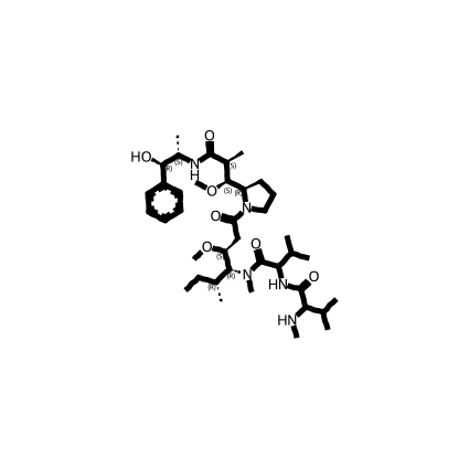 CC[C@@H](C)[C@H]([C@H](CC(=O)N1CCC[C@@H]1[C@@H](OC)[C@H](C)C(=O)N[C@@H](C)[C@H](O)c1ccccc1)OC)N(C)C(=O)C(NC(=O)C(NC)C(C)C)C(C)C